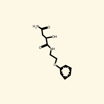 NC(=O)CC(O)C(=O)NCCOc1ccccc1